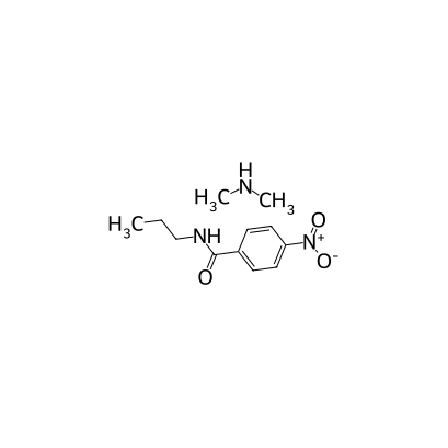 CCCNC(=O)c1ccc([N+](=O)[O-])cc1.CNC